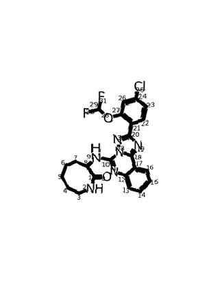 O=C1NCCCCCC1Nc1nc2ccccc2c2nc(-c3ccc(Cl)cc3OC(F)F)nn12